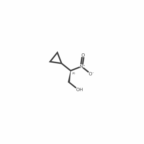 O=[N+]([O-])[C@@H](CO)C1CC1